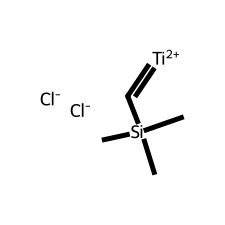 C[Si](C)(C)[CH]=[Ti+2].[Cl-].[Cl-]